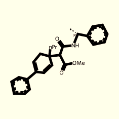 CCCC1(C(C(=O)N[C@H](C)c2ccccc2)C(=O)OC)C=CC(c2ccccc2)=CC1